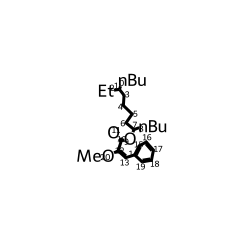 CCCCC(CC)CCCCC(CCCC)OC(=O)C(=Cc1ccccc1)OC